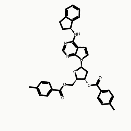 Cc1ccc(C(=O)OC[C@H]2O[C@@H](n3ccc4c(N[C@H]5CCc6ccccc65)ncnc43)C[C@@H]2OC(=O)c2ccc(C)cc2)cc1